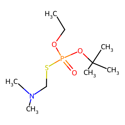 CCOP(=O)(OC(C)(C)C)SCN(C)C